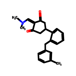 Cc1cccc(Cc2ccccc2C2CC(=O)C(=CN(C)C)C(=O)C2)c1